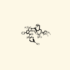 CN=C(N)N(N)Cc1csc(C(=O)Nc2c(OC)cc(Cl)cc2C(=O)Nc2ccc(Cl)cn2)c1Cl